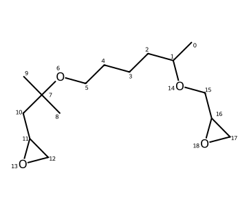 CC(CCCCOC(C)(C)CC1CO1)OCC1CO1